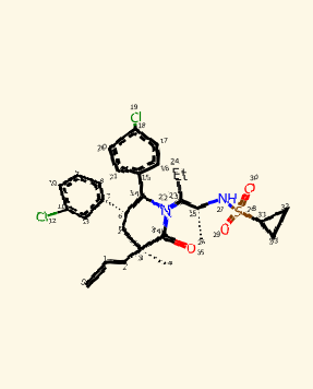 C=CC[C@@]1(C)C[C@H](c2cccc(Cl)c2)C(c2ccc(Cl)cc2)N(C(CC)[C@@H](C)NS(=O)(=O)C2CC2)C1=O